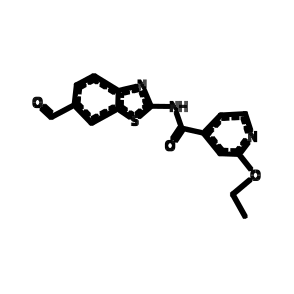 CCOc1cc(C(=O)Nc2nc3ccc(C=O)cc3s2)ccn1